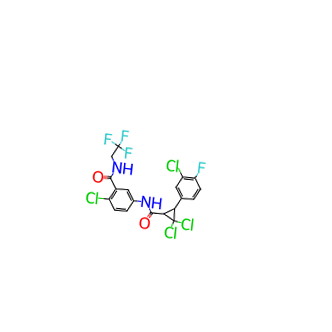 O=C(NCC(F)(F)F)c1cc(NC(=O)C2C(c3ccc(F)c(Cl)c3)C2(Cl)Cl)ccc1Cl